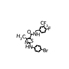 Cc1nc(Nc2ccc(Br)cc2)sc1C(=O)NCc1ccc(F)c(C(F)(F)F)c1